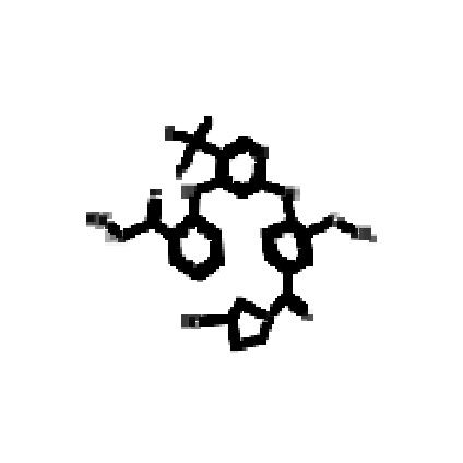 CNC(=O)c1ccccc1Nc1cc(Nc2ccc(C(=O)N3CCC(O)C3)cc2OC)ncc1C(F)(F)F